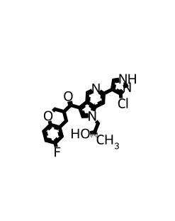 C[C@@H](O)Cn1cc(C(=O)C2COc3ccc(F)cc3C2)c2cnc(-c3c[nH]nc3Cl)cc21